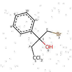 OC(CBr)(CC(Cl)(Cl)Cl)c1ccccc1